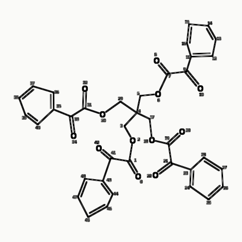 O=C(OCC(COC(=O)C(=O)c1ccccc1)(COC(=O)C(=O)c1ccccc1)COC(=O)C(=O)c1ccccc1)C(=O)c1ccccc1